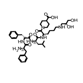 CC(C)C[C@@H](NC(=O)[C@@H](Cc1ccccc1)NC(=O)[C@H](N)Cc1ccccc1)C(=O)N[C@H](CCCCNC[C@@H](O)CO)C(=O)N1CCC(C(=O)O)CC1